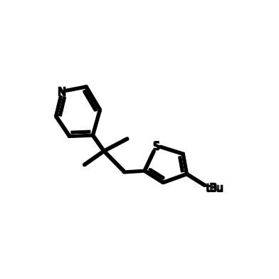 CC(C)(C)c1csc(CC(C)(C)c2ccncc2)c1